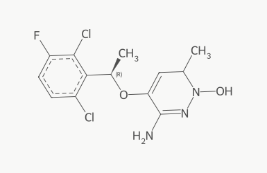 CC1C=C(O[C@H](C)c2c(Cl)ccc(F)c2Cl)C(N)=NN1O